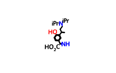 CC(CCN(C(C)C)C(C)C)c1cc(C(=N)C(=O)O)ccc1O